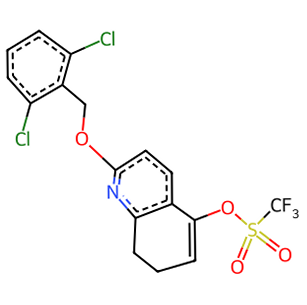 O=S(=O)(OC1=CCCc2nc(OCc3c(Cl)cccc3Cl)ccc21)C(F)(F)F